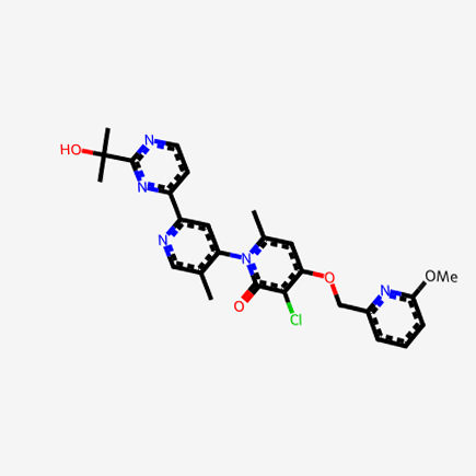 COc1cccc(COc2cc(C)n(-c3cc(-c4ccnc(C(C)(C)O)n4)ncc3C)c(=O)c2Cl)n1